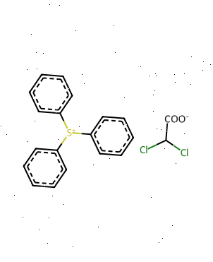 O=C([O-])C(Cl)Cl.c1ccc([S+](c2ccccc2)c2ccccc2)cc1